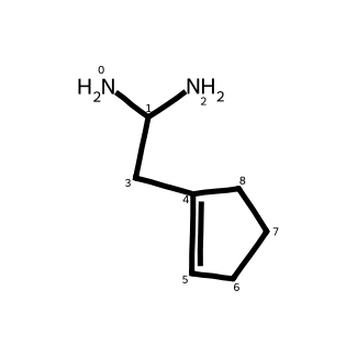 NC(N)CC1=CCCC1